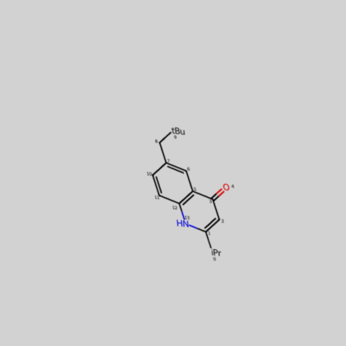 CC(C)c1cc(=O)c2cc(CC(C)(C)C)ccc2[nH]1